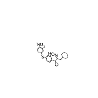 O=C(C(CC1CCCCC1)=NO)c1ccc(Sc2ccc([N+](=O)[O-])cc2)cc1